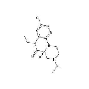 CCN1C(=O)[C@H]2CN(C(C)C)CCN2c2ncc(Cl)cc21